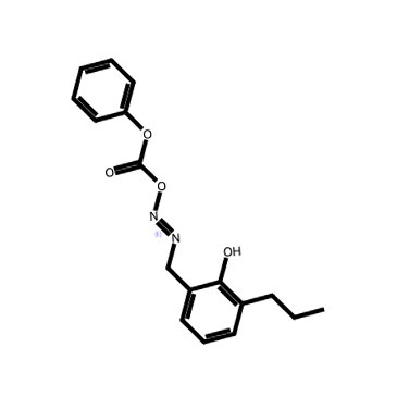 CCCc1cccc(C/N=N/OC(=O)Oc2ccccc2)c1O